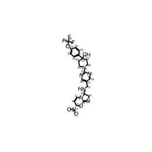 O=[N+]([O-])[C@@H]1C=CN2C(=NCC2NCc2cnc(N3CCC(O)(c4ccc(OC(F)(F)F)cc4)CC3)nc2)O1